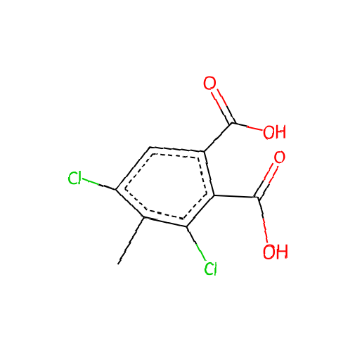 Cc1c(Cl)cc(C(=O)O)c(C(=O)O)c1Cl